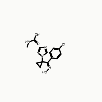 CNC(=O)O.ON=C(c1ccc(Cl)cc1)C1(n2cncn2)CC1